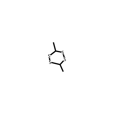 CC1SSC(C)SS1